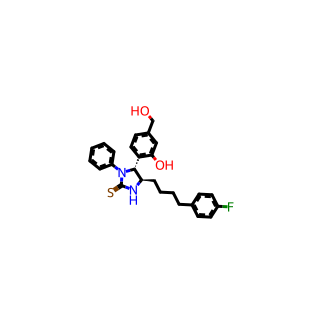 OCc1ccc([C@@H]2[C@@H](CCCCc3ccc(F)cc3)NC(=S)N2c2ccccc2)c(O)c1